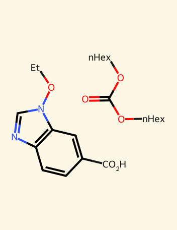 CCCCCCOC(=O)OCCCCCC.CCOn1cnc2ccc(C(=O)O)cc21